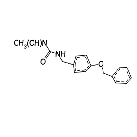 CN(O)C(=O)NCc1ccc(OCc2ccccc2)cc1